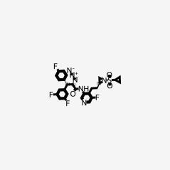 [N-]=[N+]=N[C@H](C(=O)Nc1cncc(F)c1CC[C@H]1CN1S(=O)(=O)C1CC1)[C@@H](c1ccc(F)cc1)c1cc(F)cc(F)c1